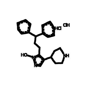 Cl.Cl.On1ncc(C2CCNCC2)c1CCC(c1ccccc1)c1ccccc1